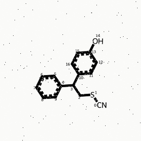 N#CSCC(c1ccccc1)c1ccc(O)cc1